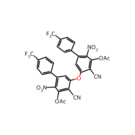 CC(=O)Oc1c(C#N)c(Oc2cc(-c3ccc(C(F)(F)F)cc3)c([N+](=O)[O-])c(OC(C)=O)c2C#N)cc(-c2ccc(C(F)(F)F)cc2)c1[N+](=O)[O-]